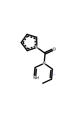 C/C=C\N(C=N)C(=O)n1cccc1